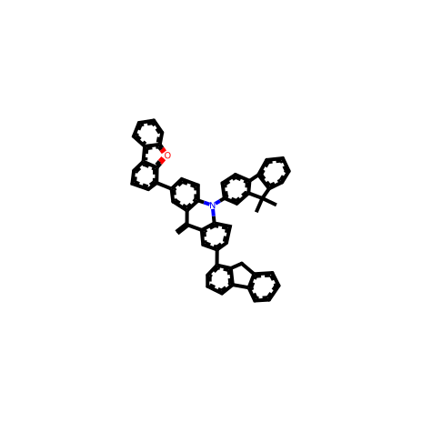 C=C1c2cc(-c3cccc4c3Cc3ccccc3-4)ccc2N(c2ccc3c(c2)C(C)(C)c2ccccc2-3)c2ccc(-c3cccc4c3oc3ccccc34)cc21